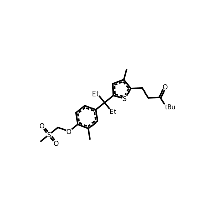 CCC(CC)(c1ccc(OCS(C)(=O)=O)c(C)c1)c1cc(C)c(CCC(=O)C(C)(C)C)s1